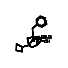 CCOC(=O)N1C2CC3(C4CCC4)CC1[C@H](O)C2N(Cc1ccccc1)C3